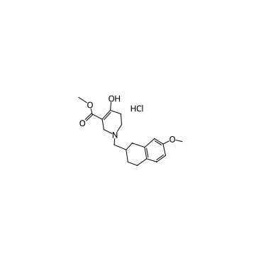 COC(=O)C1=C(O)CCN(CC2CCc3ccc(OC)cc3C2)C1.Cl